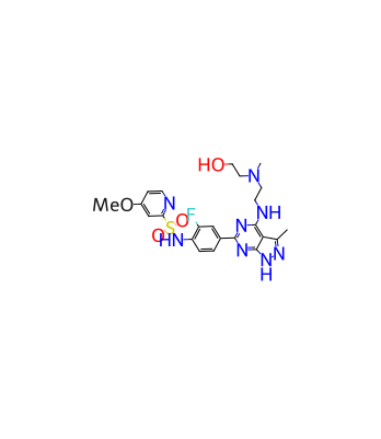 COc1ccnc(S(=O)(=O)Nc2ccc(-c3nc(NCCN(C)CCO)c4c(C)n[nH]c4n3)cc2F)c1